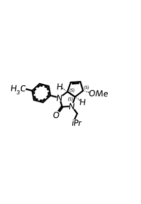 CO[C@H]1C=C[C@H]2[C@@H]1N(CC(C)C)C(=O)N2c1ccc(C)cc1